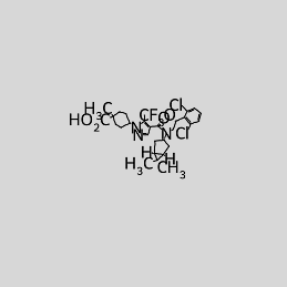 CC1(C)[C@@H]2C[C@@H](N(CC(=O)c3c(Cl)cccc3Cl)C(=O)c3cnn([C@H]4CC[C@](C)(C(=O)O)CC4)c3C(F)(F)F)C[C@@H]21